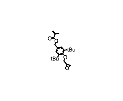 C=C(C)C(=O)OCc1cc(C(C)(C)C)c(OCC2CO2)c(C(C)(C)C)c1